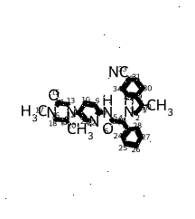 C[C@H](CN[C@@H](C(=O)Nc1ccc(N2CC(=O)N(C)C[C@@H]2C)cn1)c1ccccc1)c1ccc(C#N)cc1